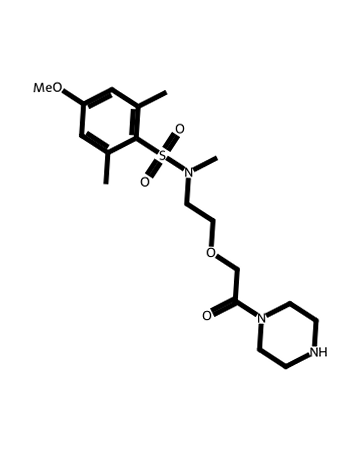 COc1cc(C)c(S(=O)(=O)N(C)CCOCC(=O)N2CCNCC2)c(C)c1